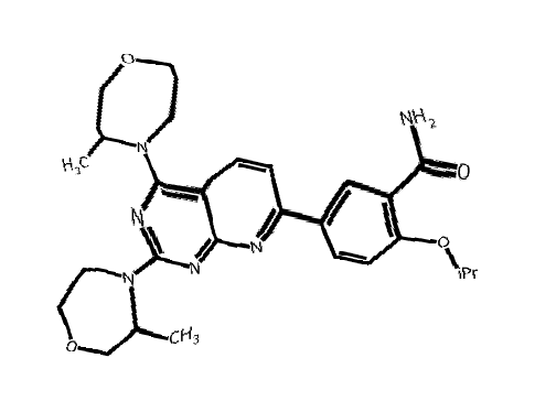 CC(C)Oc1ccc(-c2ccc3c(N4CCOCC4C)nc(N4CCOCC4C)nc3n2)cc1C(N)=O